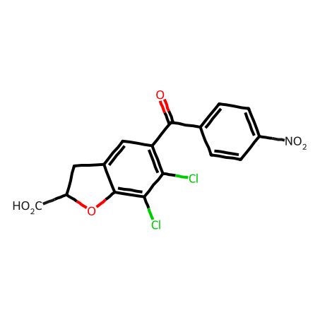 O=C(c1ccc([N+](=O)[O-])cc1)c1cc2c(c(Cl)c1Cl)OC(C(=O)O)C2